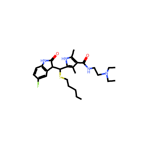 CCCCCSC(c1[nH]c(C)c(C(=O)NCCN(CC)CC)c1C)C1C(=O)Nc2ccc(F)cc21